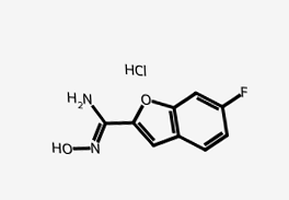 Cl.NC(=NO)c1cc2ccc(F)cc2o1